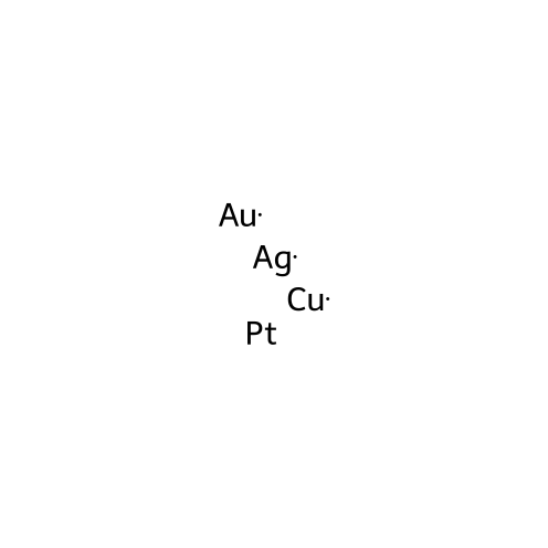 [Ag].[Au].[Cu].[Pt]